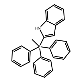 CP(c1ccccc1)(c1ccccc1)(c1ccccc1)c1cc2ccccc2[nH]1